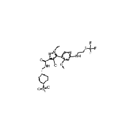 CCn1nc(C(=O)NC[C@H]2CC[C@H](S(C)(=O)=O)CC2)c(Cl)c1-c1cnc(NCCSC(F)(F)F)cc1OC